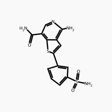 NC(=O)c1cnc(N)c2cc(-c3cccc(S(N)(=O)=O)c3)sc12